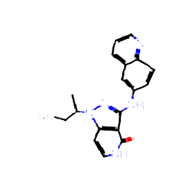 CC(CC#N)n1nc(Nc2ccc3ncccc3c2)c2c(=O)[nH]ccc21